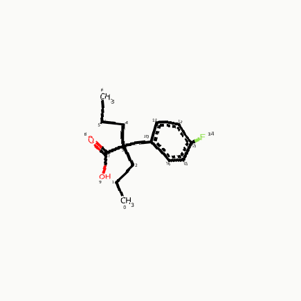 CCCC(CCC)(C(=O)O)c1ccc(F)cc1